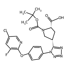 CC(C)(C)OC(=O)N1C[C@@H](c2nnnn2-c2ccc(Oc3ncc(Cl)cc3F)cc2)C[C@H]1C(=O)O